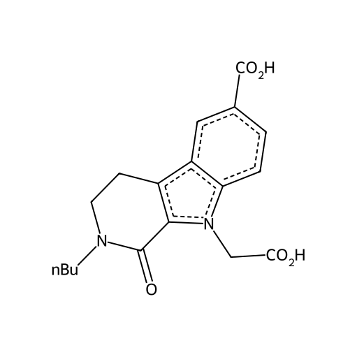 CCCCN1CCc2c(n(CC(=O)O)c3ccc(C(=O)O)cc23)C1=O